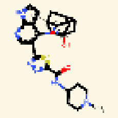 CN1CCC(NC(=O)c2nnc(-c3cnc4[nH]ccc4c3N[C@@H]3C4C[C@@]5(O)CC4C[C@@H]3C5)s2)CC1